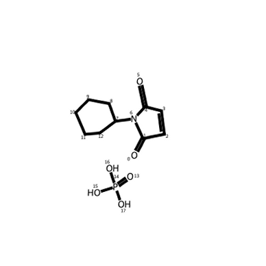 O=C1C=CC(=O)N1C1CCCCC1.O=P(O)(O)O